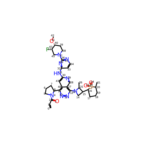 C=CC(=O)N1CCCC1c1nnc(N2CC(C3CCCC(C)S3(=O)=O)C2C)c2cnc(Nc3ccnc(N4CC[C@@H](OC)[C@@H](F)C4)n3)cc12